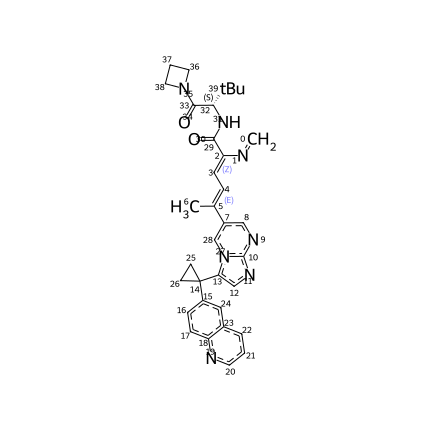 C=N/C(=C\C=C(/C)c1cnc2ncc(C3(c4ccc5ncccc5c4)CC3)n2c1)C(=O)N[C@H](C(=O)N1CCC1)C(C)(C)C